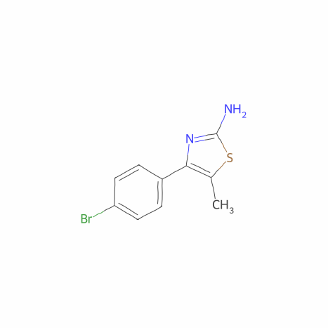 Cc1sc(N)nc1-c1ccc(Br)cc1